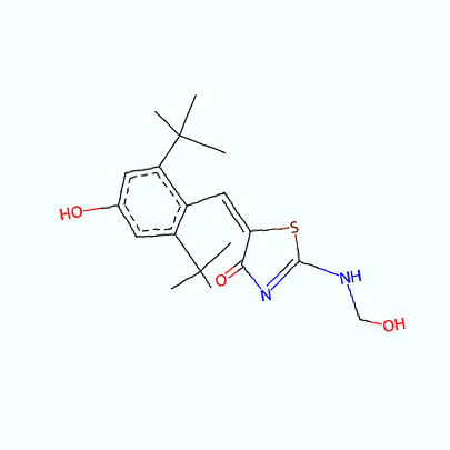 CC(C)(C)c1cc(O)cc(C(C)(C)C)c1/C=C1/SC(NCO)=NC1=O